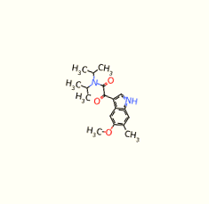 COc1cc2c(C(=O)C(=O)N(C(C)C)C(C)C)c[nH]c2cc1C